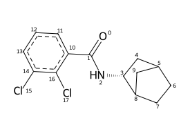 O=C(N[C@@H]1CC2CCC1C2)c1cccc(Cl)c1Cl